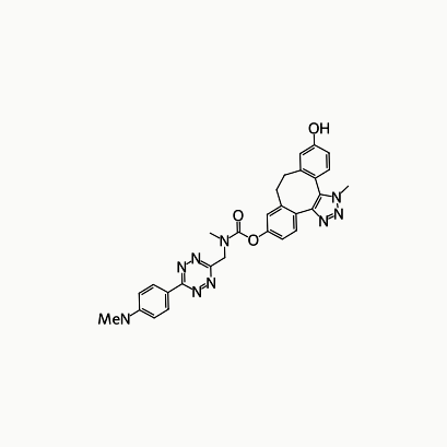 CNc1ccc(-c2nnc(CN(C)C(=O)Oc3ccc4c(c3)CCc3cc(O)ccc3-c3c-4nnn3C)nn2)cc1